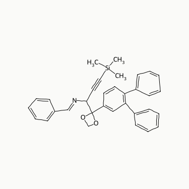 C[Si](C)(C)C#CC(N=Cc1ccccc1)C1(c2ccc(-c3ccccc3)c(-c3ccccc3)c2)OCO1